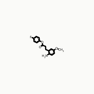 COc1ccc(N)c(CCC(=O)Oc2ccc(F)cc2)c1